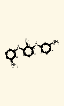 Nc1cccc(Oc2cccc(Oc3cccc(N)c3)c2Br)c1